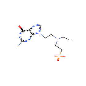 N#CCN(CCn1cnc2c(=O)[nH]c(N)nc21)CCP(=O)(O)O